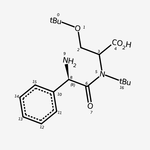 CC(C)(C)OCC(C(=O)O)N(C(=O)[C@H](N)c1ccccc1)C(C)(C)C